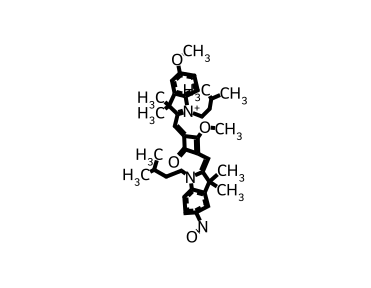 COC1=C(/C=C2\N(CCC(C)C)c3ccc(N=O)cc3C2(C)C)C(=O)/C1=C/C1=[N+](CCC(C)C)c2ccc(OC)cc2C1(C)C